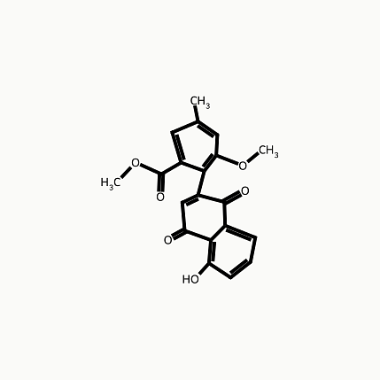 COC(=O)c1cc(C)cc(OC)c1C1=CC(=O)c2c(O)cccc2C1=O